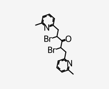 Cc1cccc(CC(Br)C(=O)C(Br)Cc2cccc(C)n2)n1